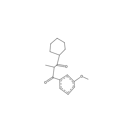 COc1cccc(C(=O)C(C)C(=O)C2CCCCC2)c1